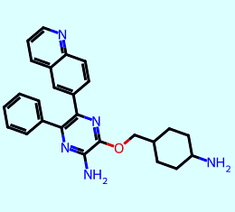 Nc1nc(-c2ccccc2)c(-c2ccc3ncccc3c2)nc1OCC1CCC(N)CC1